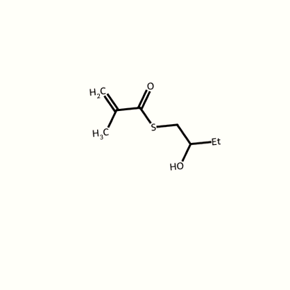 C=C(C)C(=O)SCC(O)CC